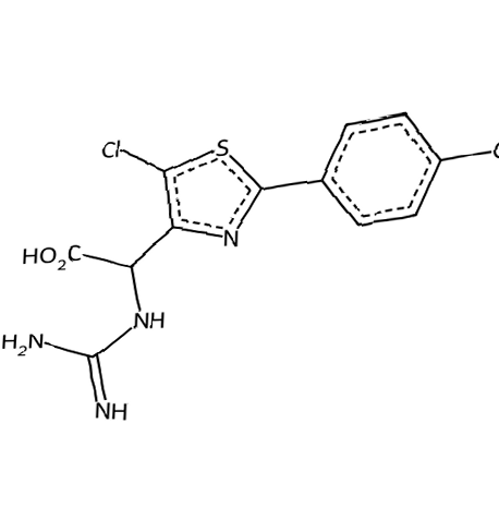 N=C(N)NC(C(=O)O)c1nc(-c2ccc(Cl)cc2)sc1Cl